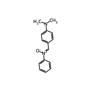 CN(C)c1ccc(C=[N+]([O-])c2ccccc2)cc1